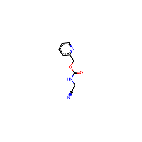 N#CCNC(=O)OCc1ccccn1